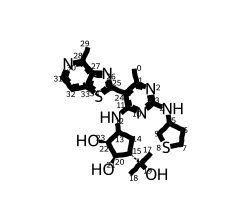 Cc1nc(NC2CCSC2)nc(NC2C[C@H](C(C)(C)O)[C@@H](O)[C@H]2O)c1-c1nc2c(C)nccc2s1